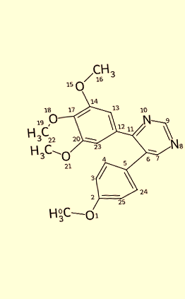 COc1ccc(-c2cncnc2-c2cc(OC)c(OC)c(OC)c2)cc1